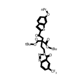 CCCOc1ccc2cc(C(=O)CC(CCn3nnc4ccc(C(F)(F)F)cc4c3=O)(C(=O)OC(C)(C)C)C(=O)OC(C)(C)C)sc2c1